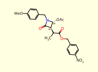 COc1ccc(CN2C(=O)[C@H](C(C)C(=O)OCc3ccc([N+](=O)[O-])cc3)[C@H]2OC(C)=O)cc1